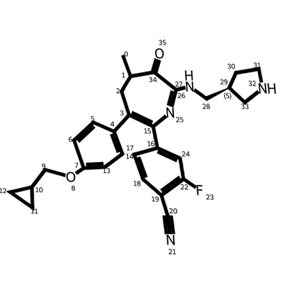 CC1CC(c2ccc(OCC3CC3)cc2)=C(c2ccc(C#N)c(F)c2)N=C(NC[C@H]2CCNC2)C1=O